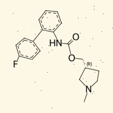 CN1CC[C@@H](COC(=O)Nc2ccccc2-c2ccc(F)cc2)C1